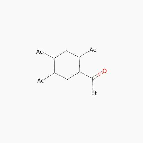 CCC(=O)C1CC(C(C)=O)C(C(C)=O)CC1C(C)=O